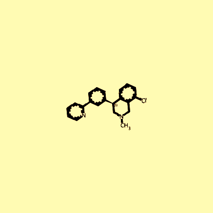 CN1Cc2c(Cl)cccc2[C@H](c2cccc(-c3ccccn3)c2)C1